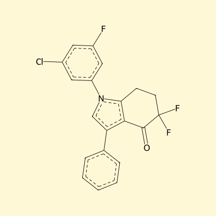 O=C1c2c(-c3ccccc3)cn(-c3cc(F)cc(Cl)c3)c2CCC1(F)F